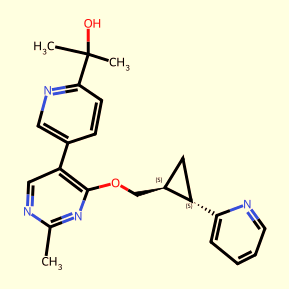 Cc1ncc(-c2ccc(C(C)(C)O)nc2)c(OC[C@H]2C[C@@H]2c2ccccn2)n1